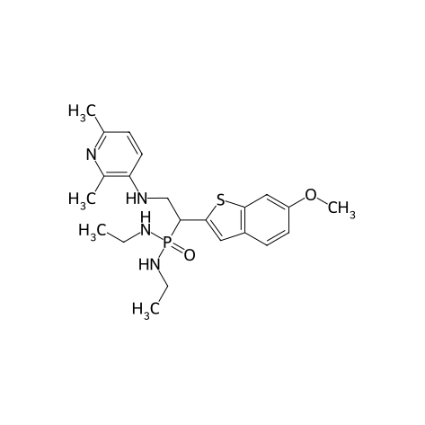 CCNP(=O)(NCC)C(CNc1ccc(C)nc1C)c1cc2ccc(OC)cc2s1